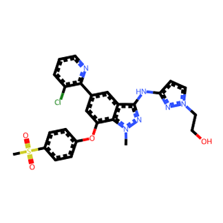 Cn1nc(Nc2ccn(CCO)n2)c2cc(-c3ncccc3Cl)cc(Oc3ccc(S(C)(=O)=O)cc3)c21